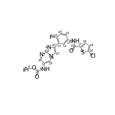 CC(C)OC(=O)Nc1cnc2nc(-c3cc(NC(=O)c4ccc(Cl)s4)ccc3F)cn2c1